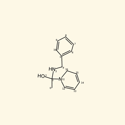 CC(O)(NCc1ccccc1)N1C=CC=CC1